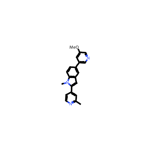 COc1cncc(-c2ccc3c(c2)cc(-c2ccnc(C)c2)n3C)c1